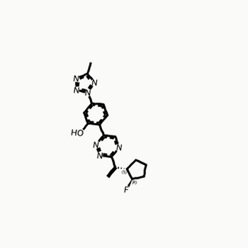 C=C(c1ncc(-c2ccc(-n3nnc(C)n3)cc2O)nn1)[C@@H]1CCC[C@H]1F